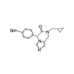 N#Cc1ccc(C2C(=O)N(CC3CC3)Cc3cncn32)cc1